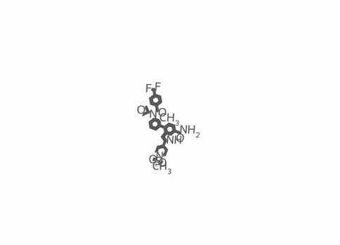 Cc1c(-c2ccc(C(N)=O)c3[nH]c(C4=CCN(S(C)(=O)=O)CC4)cc23)cccc1N(C(=O)c1ccc(C(F)F)cc1)C1COC1